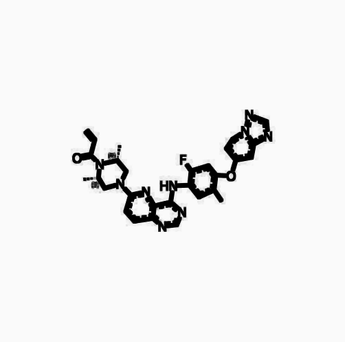 C=CC(=O)N1[C@H](C)CN(c2ccc3ncnc(Nc4cc(C)c(Oc5ccn6ncnc6c5)cc4F)c3n2)C[C@@H]1C